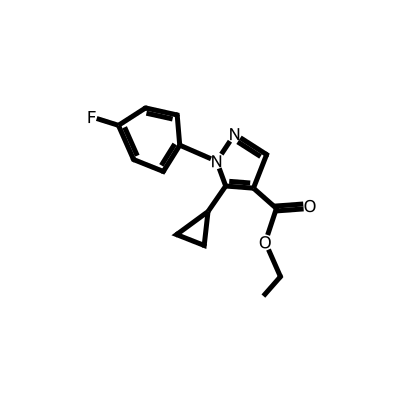 CCOC(=O)c1cnn(-c2ccc(F)cc2)c1C1CC1